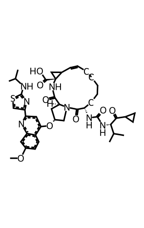 COc1ccc2c(O[C@@H]3C[C@H]4C(=O)N[C@]5(C(=O)O)CC5/C=C\CCCCC[C@H](NC(=O)N[C@H](C(=O)C5CC5)C(C)C)C(=O)N4C3)cc(-c3csc(NC(C)C)n3)nc2c1